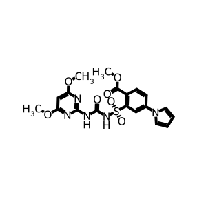 COC(=O)c1ccc(-n2cccc2)cc1S(=O)(=O)NC(=O)Nc1nc(OC)cc(OC)n1